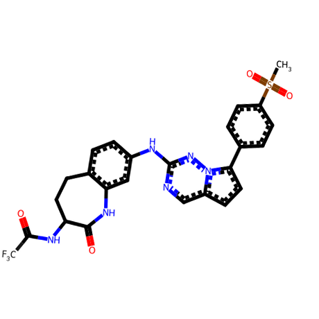 CS(=O)(=O)c1ccc(-c2ccc3cnc(Nc4ccc5c(c4)NC(=O)C(NC(=O)C(F)(F)F)CC5)nn23)cc1